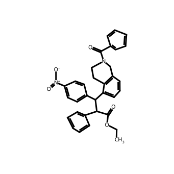 CCOC(=O)C(c1ccccc1)C(c1ccc([N+](=O)[O-])cc1)c1cccc2c1CCN(C(=O)c1ccccc1)C2